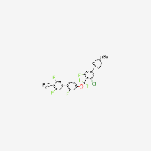 CCCCc1ccc(-c2cc(F)c(C(F)(F)Oc3ccc(-c4cc(F)c(C(F)(F)F)c(F)c4)c(F)c3)c(Cl)c2)cc1